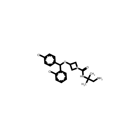 CC(C)(CN)NC(=O)N1CC(OC(c2ccc(Cl)cc2)c2ccccc2Cl)C1